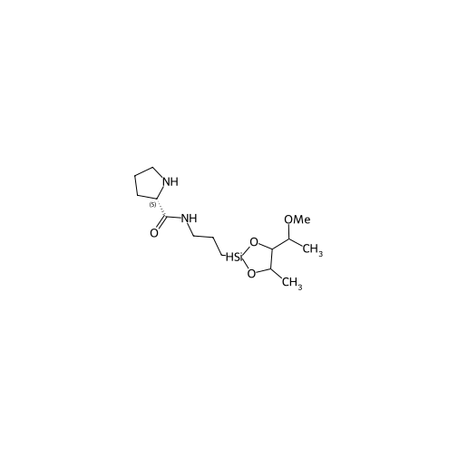 COC(C)C1O[SiH](CCCNC(=O)[C@@H]2CCCN2)OC1C